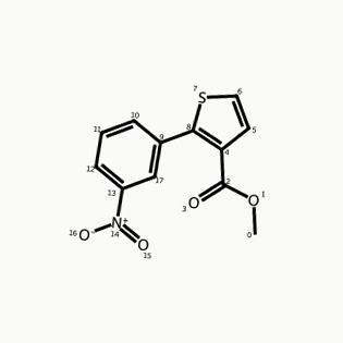 COC(=O)c1ccsc1-c1cccc([N+](=O)[O-])c1